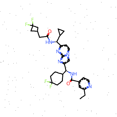 CCc1cc(C(=O)N[C@H](c2cn3ccc([C@@H](NC(=O)CC4CC(F)(F)C4)C4CC4)nc3n2)C2CCC(F)(F)CC2)ccn1